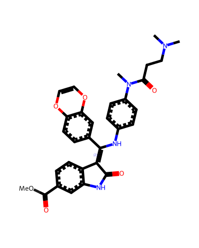 COC(=O)c1ccc2c(c1)NC(=O)/C2=C(\Nc1ccc(N(C)C(=O)CCN(C)C)cc1)c1ccc2c(c1)OC=CO2